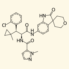 Cn1nccc1C(=O)N[C@H](C(=O)Nc1ccc2c(c1)NC(=O)C21CCOCC1)[C@H](c1ccccc1Cl)C1(C)CC1